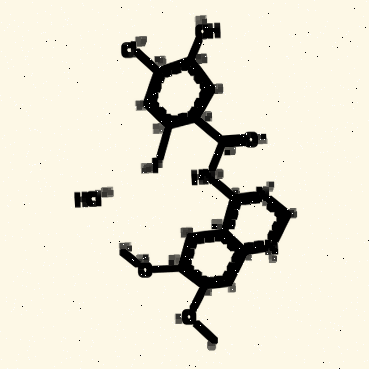 COc1cc2ncnc(NC(=O)c3cc(O)c(Cl)cc3F)c2cc1OC.Cl